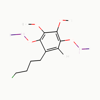 COc1c(OPI)c(C)c(CCCCF)c(OPI)c1OC